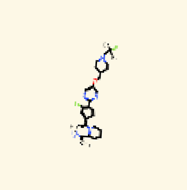 C=C(N)C1CCCCN1C(=C)c1ccc(-c2ncc(OCC3CCN(CC(F)(CC)CC)CC3)cn2)c(F)c1